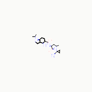 CC1CC(NC(=O)c2ccc3c(ccn3C(C)C)c2)C(=O)N1C1(C#N)CC1